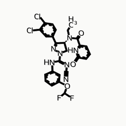 CCN(C(=O)c1cccc(=O)[nH]1)[C@@H]1CN(C(=NC#N)Nc2cccc(OC(F)F)c2)N=C1c1ccc(Cl)c(Cl)c1